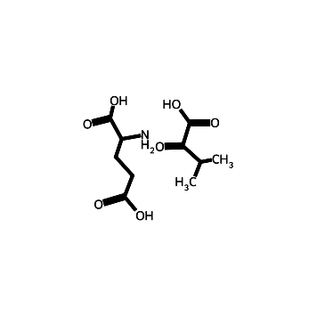 CC(C)C(=O)C(=O)O.NC(CCC(=O)O)C(=O)O